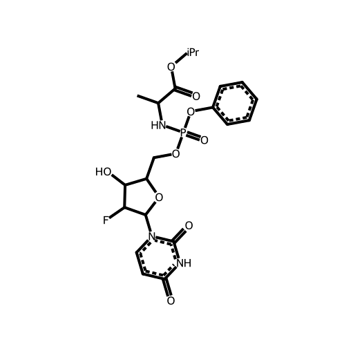 CC(C)OC(=O)C(C)NP(=O)(OCC1OC(n2ccc(=O)[nH]c2=O)C(F)C1O)Oc1ccccc1